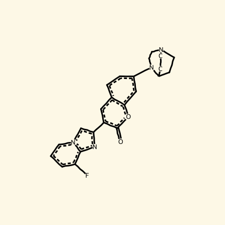 O=c1oc2cc(N3CCN4CCC3CC4)ccc2cc1-c1cn2cccc(F)c2n1